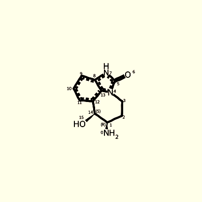 N[C@@H]1CCn2c(=O)[nH]c3cccc(c32)[C@@H]1O